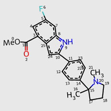 COC(=O)c1cc(F)cc2[nH]c(-c3ccc(C4(C)CCCN4C)cc3)cc12